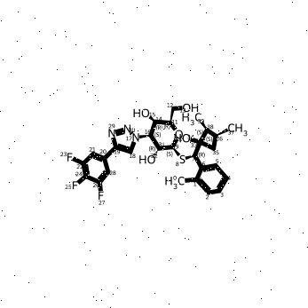 Cc1ccccc1[C@@H](S[C@@H]1O[C@H](CO)[C@H](O)[C@H](n2cc(-c3cc(F)c(F)c(F)c3)nn2)[C@H]1O)C1(O)C[C@H](C)[C@@H]1C